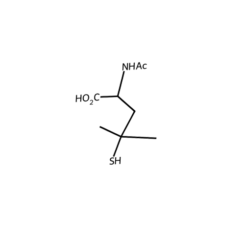 CC(=O)NC(CC(C)(C)S)C(=O)O